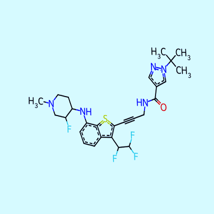 CN1CCC(Nc2cccc3c(C(F)C(F)F)c(C#CCNC(=O)c4cnn(C(C)(C)C)c4)sc23)C(F)C1